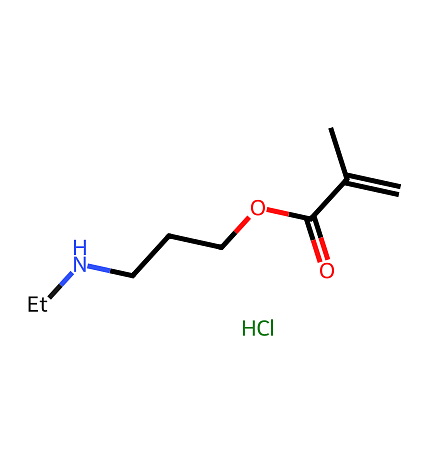 C=C(C)C(=O)OCCCNCC.Cl